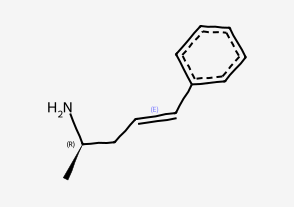 C[C@@H](N)C/C=C/c1ccccc1